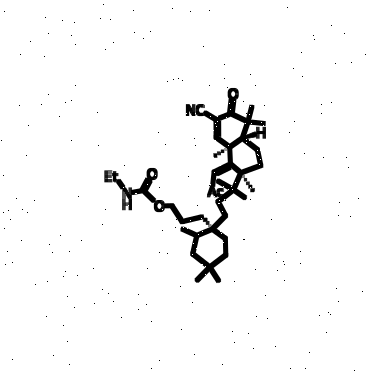 CCNC(=O)OCCC[C@]1(CCC(C)(C)[C@]2(C)CC[C@H]3C(C)(C)C(=O)C(C#N)=C[C@]3(C)/C2=C/C(C)=O)CCC(C)(C)CC1C